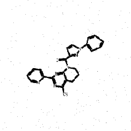 N#Cc1nc(-c2ccccn2)nc2c1CCCN2C(=O)c1ccn(-c2ccccc2)n1